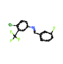 Fc1cccc(C=Nc2ccc(Cl)c(C(F)(F)F)c2)c1